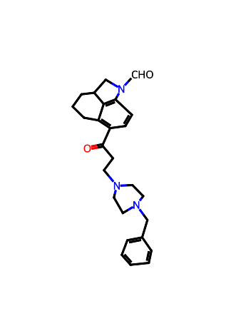 O=CN1CC2CCCc3c(C(=O)CCN4CCN(Cc5ccccc5)CC4)ccc1c32